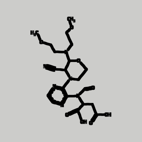 COCCN(CCOC)C1OCCN(c2nccnc2N(C=O)C(CC(=O)O)C(=O)O)C1C#N